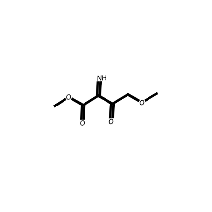 COCC(=O)C(=N)C(=O)OC